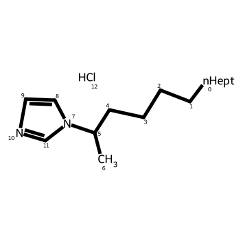 CCCCCCCCCCCC(C)n1ccnc1.Cl